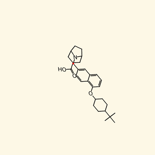 CC(C)(C)C1CCC(Oc2cccc3cc(CN4C5CCC4CC(C(=O)O)C5)ccc23)CC1